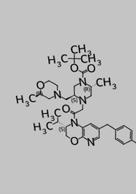 CC(C)[C@H]1COc2ncc(Cc3ccc(F)cc3)cc2N1C(=O)CN1C[C@@H](C)N(C(=O)OC(C)(C)C)C[C@@H]1CN1CCO[C@H](C)C1